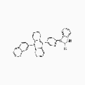 CCC1Nc2ccccc2N1c1ccc(-c2c3c(c(-c4ccc5ccccc5c4)c4ccccc24)C=CCC3)cc1